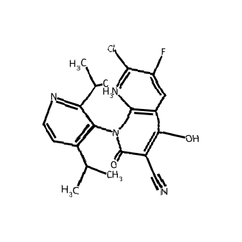 CC(C)c1ccnc(C(C)C)c1-n1c(=O)c(C#N)c(O)c2cc(F)c(Cl)nc21